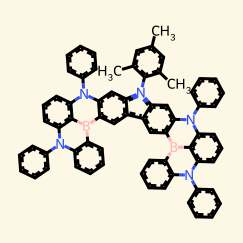 Cc1cc(C)c(-n2c3cc4c(cc3c3cc5c(cc32)N(c2ccccc2)c2cccc3c2B5c2ccccc2N3c2ccccc2)B2c3ccccc3N(c3ccccc3)c3cccc(c32)N4c2ccccc2)c(C)c1